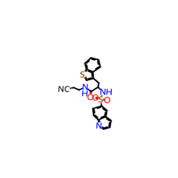 N#CCCNC(=O)C(Cc1csc2ccccc12)NS(=O)(=O)c1ccc2ncccc2c1